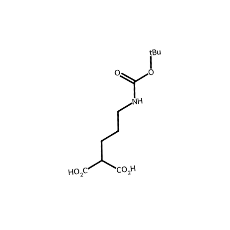 CC(C)(C)OC(=O)NCCCC(C(=O)O)C(=O)O